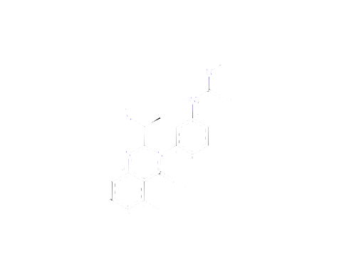 CCNC(=O)Nc1cccc(-n2c([C@H](C)N)nc3cccc(C)c3c2=O)c1